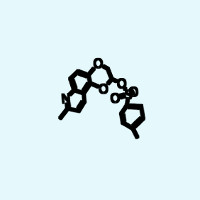 Cc1ccc(S(=O)(=O)OC2COc3ccc4nc(C)ccc4c3O2)cc1